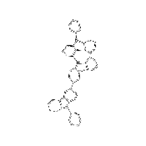 C1=Cc2c(n(-c3ccccc3)c3ccc(-c4ccc5c(c4)c4ccccc4n5-c4cccc5c4c4ccccc4n5-c4ccccc4)cc23)CC1